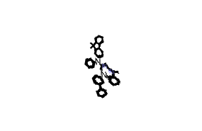 C/C1=C\C=C(\N(C2=CCC3C4=CCCC=C4C(C)(C)C3=C2)c2ccccc2)CN(c2cccc(-c3ccccc3)c2)c2ccccc21